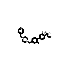 Cc1cc(CN2CCN(Cc3ccncc3)CC2)ccc1-c1ccc(C(O)(CF)C(F)(F)F)cc1